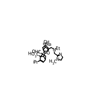 CCCCC1CC(C2C3C=C(C(C)C)C2(C(=O)O)C(C=O)([C@@H]2CC[C@@H](C)C2)C3)OC1CN(CC)CC1=NCCN1C